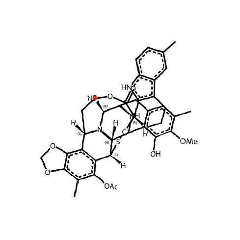 COc1c(C)cc2c(c1O)C1NC(C2)[C@H](C#N)N2[C@H]1[C@@H]1SC[C@]3(NCCc4c3[nH]c3ccc(C)cc43)C(=O)OCC[C@H]2c2c3c(c(C)c(OC(C)=O)c21)OCO3